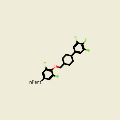 CCCCCc1cc(F)c(OCC2CCC(c3cc(F)c(F)c(F)c3)CC2)c(F)c1